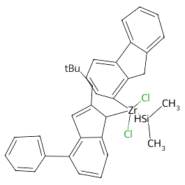 C[SiH](C)[Zr]([Cl])([Cl])([c]1cccc2c1Cc1ccccc1-2)[CH]1C(CC(C)(C)C)=Cc2c(-c3ccccc3)cccc21